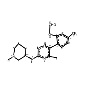 Cc1nc(N[C@@H]2CCCN(C)C2)nnc1-c1ccc(C(F)(F)F)cc1OC=O